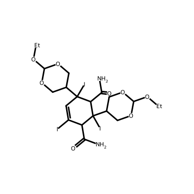 CCOC1OCC(C2(I)C=C(I)C(C(N)=O)C(I)(C3COC(OCC)OC3)C2C(N)=O)CO1